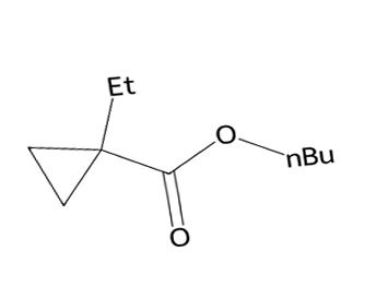 CCCCOC(=O)C1(CC)CC1